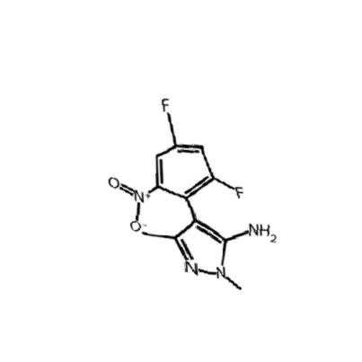 Cc1nn(C)c(N)c1-c1c(F)cc(F)cc1[N+](=O)[O-]